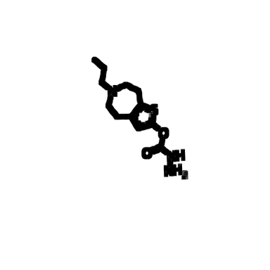 CCCN1CCc2cc(OC(=O)NN)sc2CC1